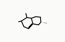 CC1CC=C2C[C@@H](C)CCC2C1C